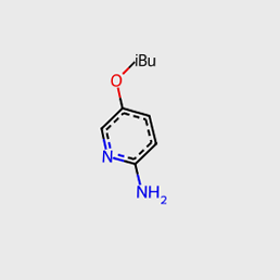 CCC(C)Oc1ccc(N)nc1